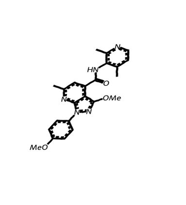 COc1ccc(-n2nc(OC)c3c(C(=O)Nc4c(C)ccnc4C)cc(C)nc32)cc1